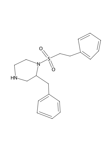 O=S(=O)(CCc1ccccc1)N1CCNCC1Cc1ccccc1